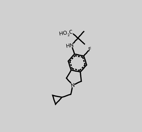 CC(C)(Nc1cc2c(cc1F)CN(CC1CC1)C2)C(=O)O